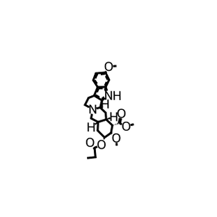 CCC(=O)O[C@@H]1C[C@@H]2CN3CCc4c([nH]c5cc(OC)ccc45)[C@H]3C[C@@H]2[C@H](C(=O)OC)[C@H]1OC